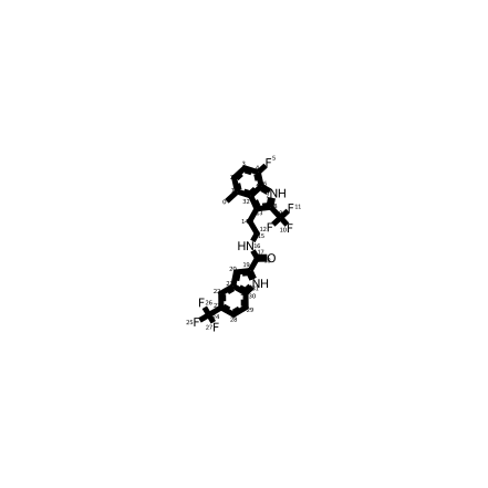 Cc1ccc(F)c2[nH]c(C(F)(F)F)c(CCNC(=O)c3cc4cc(C(F)(F)F)ccc4[nH]3)c12